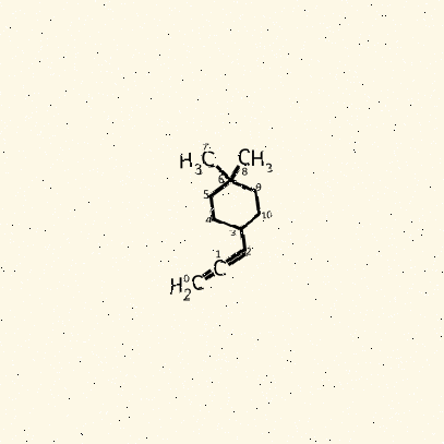 C=C=CC1CCC(C)(C)CC1